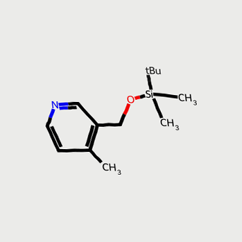 Cc1ccncc1CO[Si](C)(C)C(C)(C)C